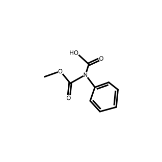 COC(=O)N(C(=O)O)c1ccccc1